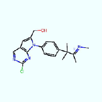 C/N=C(\C)C(C)(C)c1ccc(-n2c(CO)cc3cnc(Cl)nc32)cc1